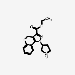 CCOC(=O)c1nn(C2CCNC2)c2c1CSc1ccccc1-2